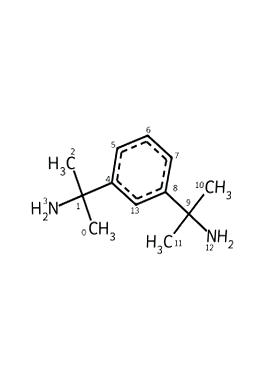 CC(C)(N)c1cccc(C(C)(C)N)c1